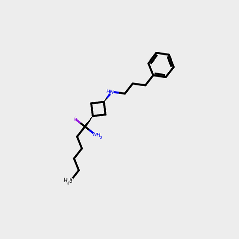 BCCCCC(N)(I)[C@H]1C[C@@H](NCCCc2ccccc2)C1